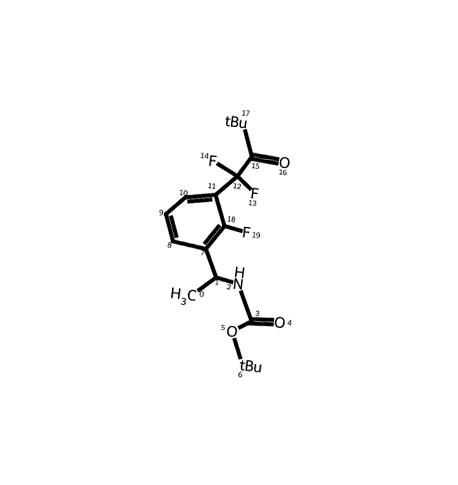 CC(NC(=O)OC(C)(C)C)c1cccc(C(F)(F)C(=O)C(C)(C)C)c1F